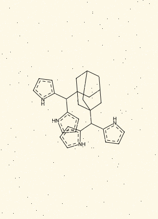 c1c[nH]c(C(c2ccc[nH]2)C23CC4CC(C2)CC(C(c2ccc[nH]2)c2ccc[nH]2)(C4)C3)c1